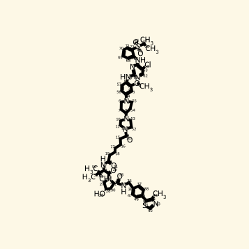 COc1cc(N2CCC(N3CCN(C(=O)CCCCCC(=O)NC(C(=O)N4C[C@H](O)C[C@H]4C(=O)NCc4ccc(-c5scnc5C)cc4)C(C)(C)C)CC3)CC2)ccc1Nc1ncc(Cl)c(Nc2ccccc2S(=O)(=O)C(C)C)n1